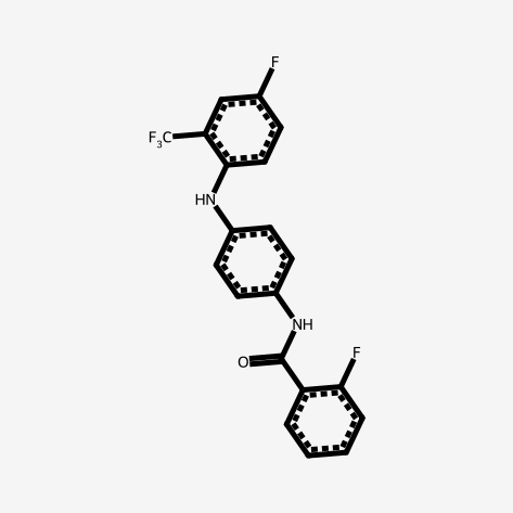 O=C(Nc1ccc(Nc2ccc(F)cc2C(F)(F)F)cc1)c1ccccc1F